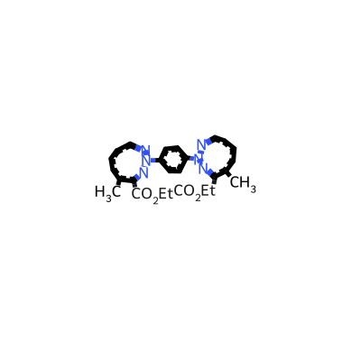 CCOC(=O)c1nn(-c2ccc(-n3nccccc(C)c(C(=O)OCC)n3)cc2)nccccc1C